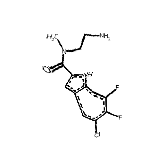 CN(CCN)C(=O)c1cc2cc(Cl)c(F)c(F)c2[nH]1